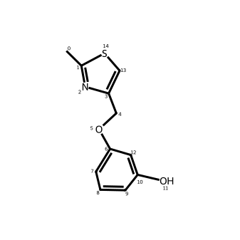 Cc1nc(COc2cccc(O)c2)cs1